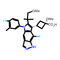 COCC(C)(C)c1c([C@H]2C[C@](OC)(C(=O)O)C2)c2c(F)c3[nH]ncc3cc2n1-c1ccc(F)c(C)c1